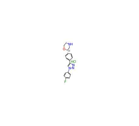 Cl.Fc1ccc(-n2cc(-c3ccc([C@H]4CNCCO4)cc3)nn2)cc1